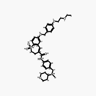 CCOCCOc1ccc(COc2ccc3c(c2)C=C(C(=O)Nc2ccc(CN(C)C4CCOCC4)cc2)CCS3(=O)=O)cc1